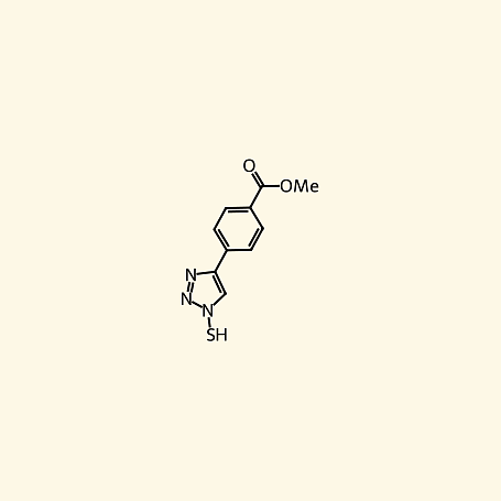 COC(=O)c1ccc(-c2cn(S)nn2)cc1